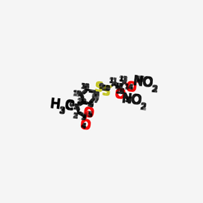 Cc1cc(=O)oc2cc(SSCC(CO[N+](=O)[O-])O[N+](=O)[O-])ccc12